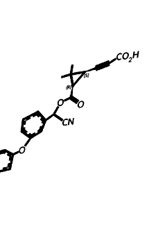 CC1(C)[C@H](C(=O)OC(C#N)c2cccc(Oc3ccccc3)c2)[C@@H]1C#CC(=O)O